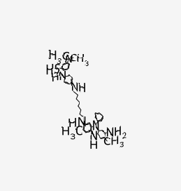 CC1=CC2Nc3cc(C)c(NCCCCCCCCNC4=CCC(Nc5ccc(N(C)C)cc5S)C=C4)cc3N(c3ccccc3)C2C=C1N